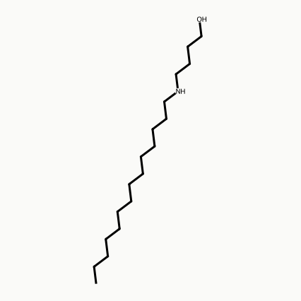 CCCCCCCCCCCCCCNCCCCO